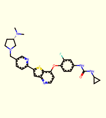 CN(C)[C@H]1CCN(Cc2ccc(-c3cc4nccc(Oc5ccc(NC(=O)NC6CC6)cc5F)c4s3)nc2)C1